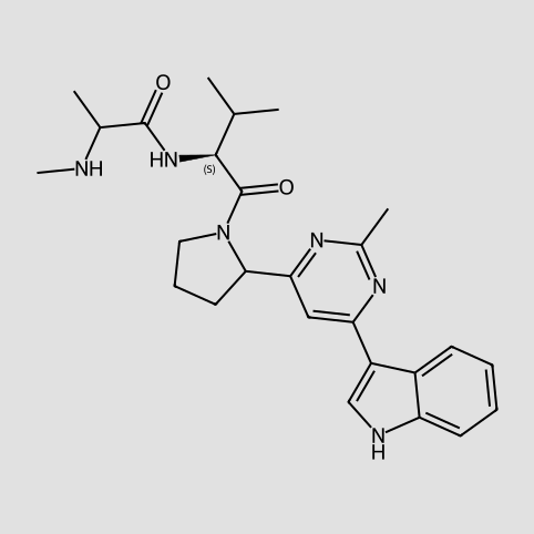 CNC(C)C(=O)N[C@H](C(=O)N1CCCC1c1cc(-c2c[nH]c3ccccc23)nc(C)n1)C(C)C